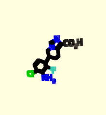 Nc1c(Cl)ccc(C2CCc3c(C(=O)O)ncn3C2)c1F